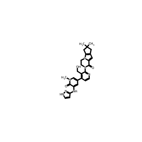 Cn1cc(-c2ccnc(N3CCn4c(cc5c4CC(C)(C)C5)C3=O)c2CO)cc(Nc2cc[nH]n2)c1=O